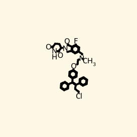 CN(CCOc1ccc(C(=C(CCCl)c2ccccc2)c2ccccc2)cc1)Cc1cc(F)c2c(c1)CN(C1CCC(=O)NC1=O)C2=O